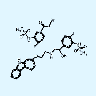 CS(=O)(=O)Nc1cc(C(=O)CBr)ccc1I.CS(=O)(=O)Nc1cc(C(O)CNCCOc2ccc3c(c2)[nH]c2ccccc23)ccc1I